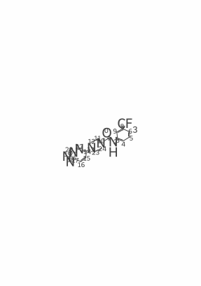 O=C(Nc1cccc(C(F)(F)F)c1)N1CCN(c2ccc3nncn3n2)CC1